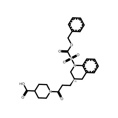 O=C(O)C1CCN(C(=O)CC[C@@H]2Cc3ccccc3N(S(=O)(=O)C(=O)OCc3ccccc3)C2)CC1